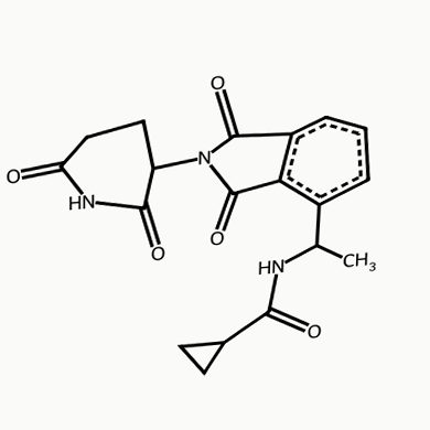 CC(NC(=O)C1CC1)c1cccc2c1C(=O)N(C1CCC(=O)NC1=O)C2=O